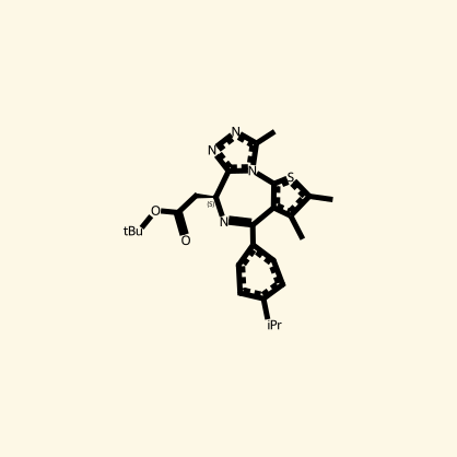 Cc1sc2c(c1C)C(c1ccc(C(C)C)cc1)=N[C@@H](CC(=O)OC(C)(C)C)c1nnc(C)n1-2